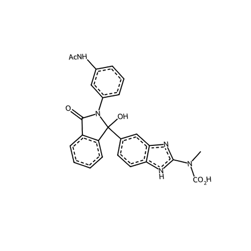 CC(=O)Nc1cccc(N2C(=O)c3ccccc3C2(O)c2ccc3[nH]c(N(C)C(=O)O)nc3c2)c1